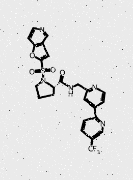 O=C(NCc1cc(-c2ccc(C(F)(F)F)cn2)ccn1)[C@@H]1CCCN1S(=O)(=O)c1cc2cnccc2o1